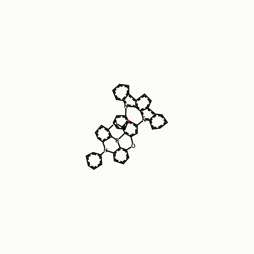 c1ccc(N2c3cccc4c3B3c5c(cc(-n6c7ccccc7c7ccc8c9ccccc9n(-c9ccccc9)c8c76)cc5Oc5cccc2c53)O4)cc1